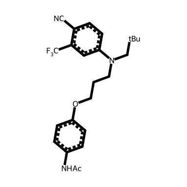 CC(=O)Nc1ccc(OCCCN(CC(C)(C)C)c2ccc(C#N)c(C(F)(F)F)c2)cc1